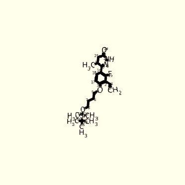 C=Cc1c(OCCCCO[Si](C)(C)C(C)(C)C)ccc(C2=NNC(=O)CC2C)c1F